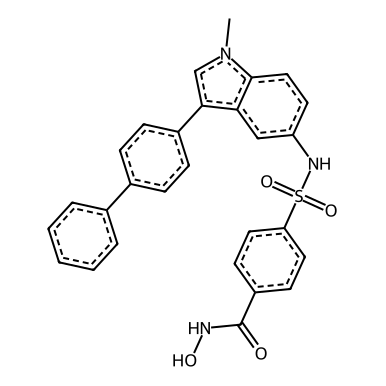 Cn1cc(-c2ccc(-c3ccccc3)cc2)c2cc(NS(=O)(=O)c3ccc(C(=O)NO)cc3)ccc21